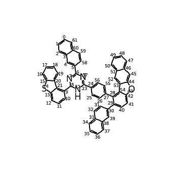 c1ccc2cc(C3=NC(c4cccc5sc6ccccc6c45)NC(c4ccc(-c5c(-c6ccc7ccccc7c6)ccc6oc7cc8ccccc8cc7c56)cc4)=N3)ccc2c1